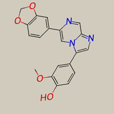 COc1cc(-c2cnc3cnc(-c4ccc5c(c4)OCO5)cn23)ccc1O